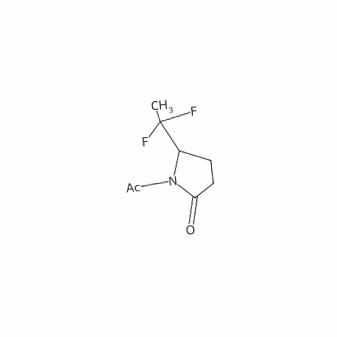 CC(=O)N1C(=O)CCC1C(C)(F)F